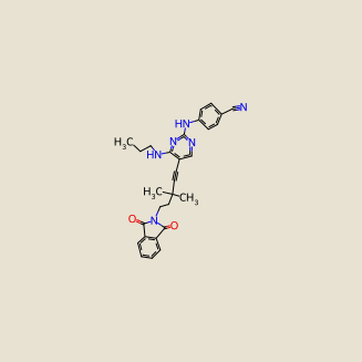 CCCNc1nc(Nc2ccc(C#N)cc2)ncc1C#CC(C)(C)CCN1C(=O)c2ccccc2C1=O